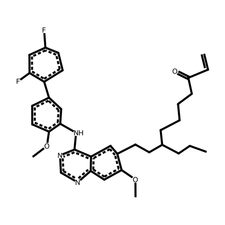 C=CC(=O)CCCCC(CCC)CCc1cc2c(Nc3cc(-c4ccc(F)cc4F)ccc3OC)ncnc2cc1OC